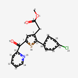 COC(=O)Cc1cc(C(=O)c2ccccn2)sc1-c1ccc(Cl)cc1